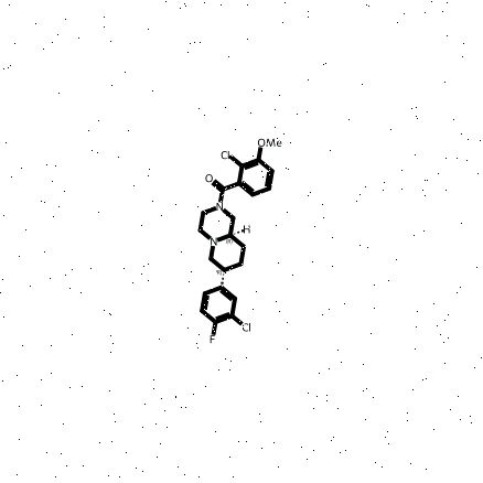 COc1cccc(C(=O)N2CCN3C[C@@H](c4ccc(F)c(Cl)c4)CC[C@@H]3C2)c1Cl